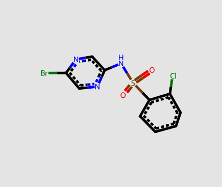 O=S(=O)(Nc1cnc(Br)cn1)c1ccccc1Cl